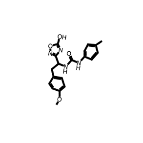 COc1ccc(CC(NC(=O)Nc2ccc(C)cc2)c2noc(O)n2)cc1